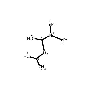 CCCN(CCC)C(C)OC(C)O